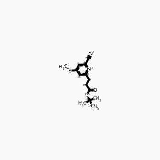 CSc1cc(C#N)nc(CCC(=O)OC(C)(C)C)c1